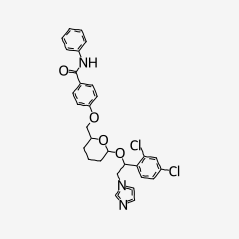 O=C(Nc1ccccc1)c1ccc(OCC2CCCC(OC(Cn3ccnc3)c3ccc(Cl)cc3Cl)O2)cc1